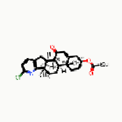 CC(C)(C)C(=O)O[C@H]1CC[C@@]2(C)C(=CC(=O)[C@@H]3[C@@H]2CC[C@]2(C)c4nc(Cl)ccc4C[C@@H]32)C1